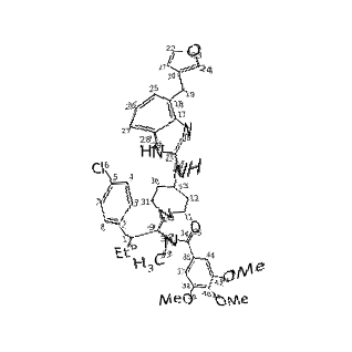 CCC(c1ccc(Cl)cc1)C(N1CCC(Nc2nc3c(Cc4ccoc4)cccc3[nH]2)CC1)N(C)C(=O)c1cc(OC)c(OC)c(OC)c1